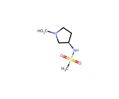 CS(=O)(=O)N[C@@H]1CCN(C(=O)O)C1